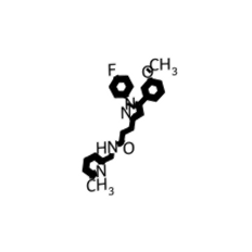 COc1cccc(-c2cc(CCC(=O)NCc3cccc(C)n3)nn2-c2ccc(F)cc2)c1